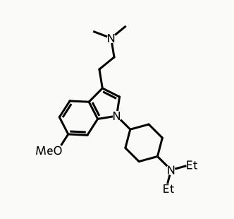 CCN(CC)C1CCC(n2cc(CCN(C)C)c3ccc(OC)cc32)CC1